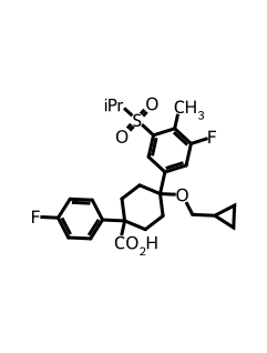 Cc1c(F)cc(C2(OCC3CC3)CCC(C(=O)O)(c3ccc(F)cc3)CC2)cc1S(=O)(=O)C(C)C